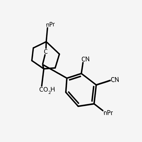 CCCc1ccc(C2CC3(CCC)CCC2(C(=O)O)CC3)c(C#N)c1C#N